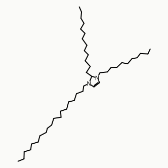 CCCCCCCCCCCCCCCCCCCN1C=CN(CCCCCCCCCCC)C1CCCCCCCCCCCCC